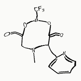 CN1CC(=O)OB(C(F)(F)F)OC(=O)C1c1ccccn1